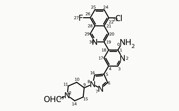 Nc1ncc(-c2cnn(C3CCN(C=O)CC3)c2)cc1-c1cc2c(Cl)ccc(F)c2cn1